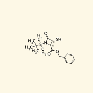 CC(C)(C)[Si](C)(C)N1C(=O)[C@H](S)[C@H]1C(=O)OCc1ccccc1